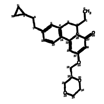 CCC1Cc2cc(CCC3CC3)ccc2-c2cc(OC[C@@H]3COCCO3)cc(=O)n21